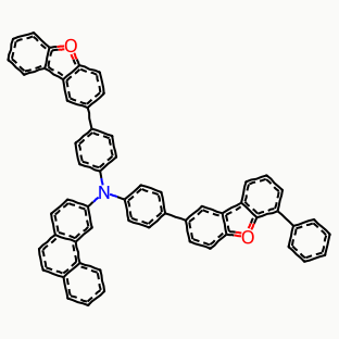 c1ccc(-c2cccc3c2oc2ccc(-c4ccc(N(c5ccc(-c6ccc7oc8ccccc8c7c6)cc5)c5ccc6ccc7ccccc7c6c5)cc4)cc23)cc1